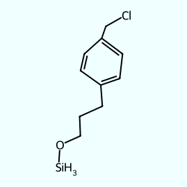 [SiH3]OCCCc1ccc(CCl)cc1